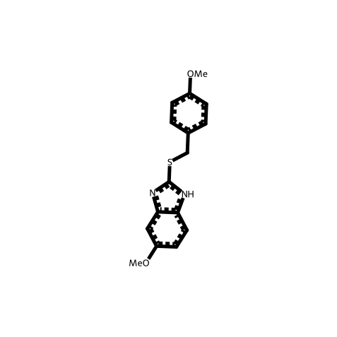 COc1ccc(CSc2nc3cc(OC)ccc3[nH]2)cc1